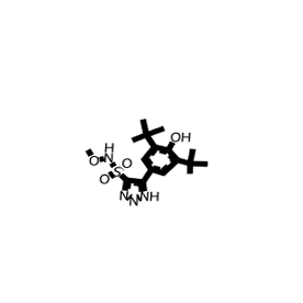 CONS(=O)(=O)c1nn[nH]c1-c1cc(C(C)(C)C)c(O)c(C(C)(C)C)c1